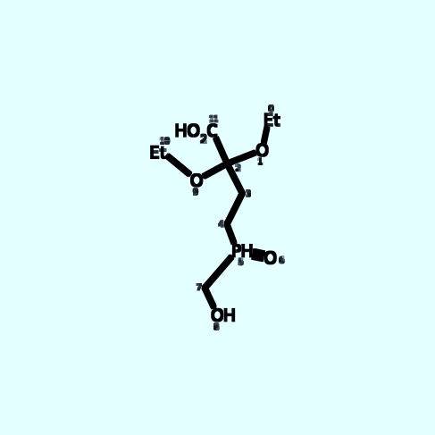 CCOC(CC[PH](=O)CO)(OCC)C(=O)O